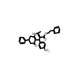 CC1=C(C(=O)OCCc2ccccc2)C(c2ccc([N+](=O)[O-])cc2)C2=C(CC(c3ccccc3)CC2=O)N1